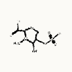 [CH2-][C+]1C(C(=O)O)OCC(OS(=O)(=O)O)C1O